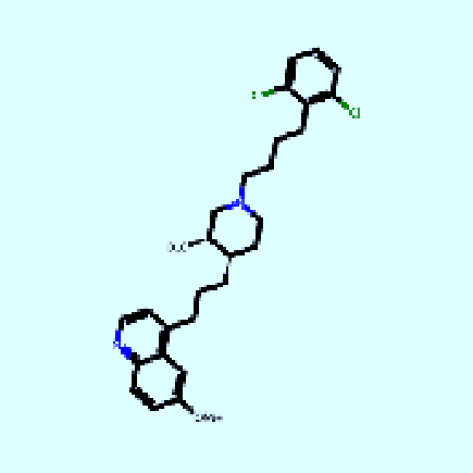 COc1ccc2nccc(CCC[C@@H]3CCN(CCCCc4c(Cl)cccc4Cl)C[C@@H]3C(=O)O)c2c1